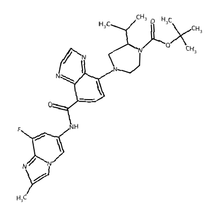 Cc1cn2cc(NC(=O)c3ccc(N4CCN(C(=O)OC(C)(C)C)C(C(C)C)C4)c4nccnc34)cc(F)c2n1